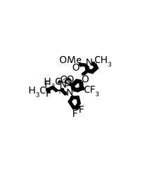 COC(=O)c1nc(C)ccc1COc1cc2c(cc1C(F)(F)F)N(C1CCC(F)(F)CC1)C[C@@H](CCC(C)(F)F)N(C)S2(=O)=O